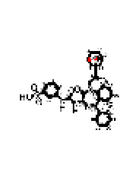 O=C(Nc1cccc(S(=O)(=O)O)c1)NC1N=C(c2ccccc2F)c2ccccc2N(CC(=O)N2CC3CCC(CC3)C2)C1=O